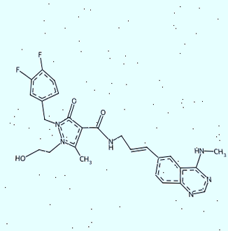 CNc1ncnc2ccc(/C=C/CNC(=O)c3c(C)n(CCO)n(Cc4ccc(F)c(F)c4)c3=O)cc12